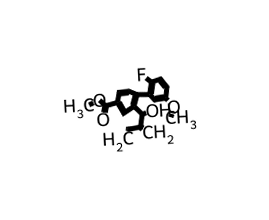 C=CC(=C)C(O)c1cc(C(=O)OC)ccc1-c1cc(OC)ccc1F